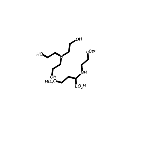 CCCCCCCCCCCCNC(CCC(=O)O)C(=O)O.OCCN(CCO)CCO